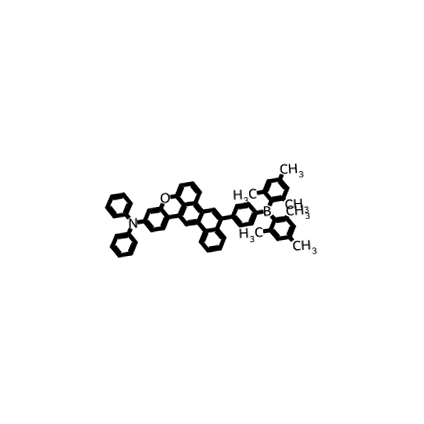 Cc1cc(C)c(B(c2ccc(-c3cc4c5cccc6c5c(cc4c4ccccc34)-c3ccc(N(c4ccccc4)c4ccccc4)cc3O6)cc2)c2c(C)cc(C)cc2C)c(C)c1